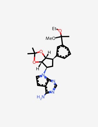 CCOC(C)(OC)c1cccc([C@H]2C[C@@H](n3ccc4c(N)ncnc43)[C@@H]3OC(C)(C)O[C@@H]32)c1